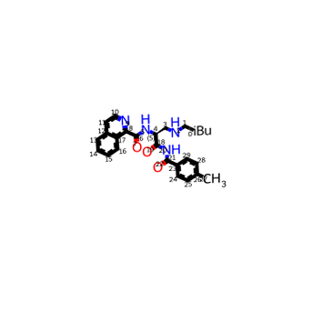 [CH2]CC(C)CNC[C@H](NC(=O)c1nccc2ccccc12)C(=O)NC(=O)c1ccc(C)cc1